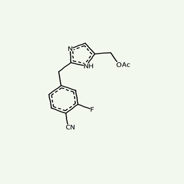 CC(=O)OCc1cnc(Cc2ccc(C#N)c(F)c2)[nH]1